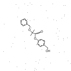 CC(C)(OCc1ccccc1)C(=C=O)Oc1ccc(CO)cc1